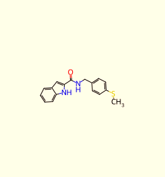 CSc1ccc(CNC(=O)c2cc3ccccc3[nH]2)cc1